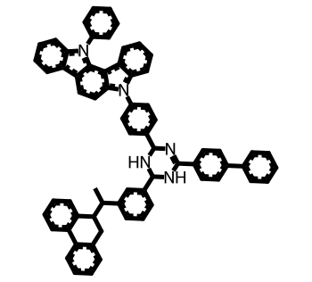 CC(c1cccc(C2NC(c3ccc(-c4ccccc4)cc3)=NC(c3ccc(-n4c5ccccc5c5c4ccc4c6ccccc6n(-c6ccccc6)c45)cc3)N2)c1)C1Cc2ccccc2-c2ccccc21